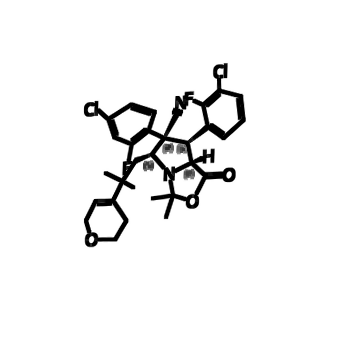 CC(C)(C[C@@H]1N2[C@@H](C(=O)OC2(C)C)[C@H](c2cccc(Cl)c2F)[C@@]1(C#N)c1ccc(Cl)cc1F)C1=CCOCC1